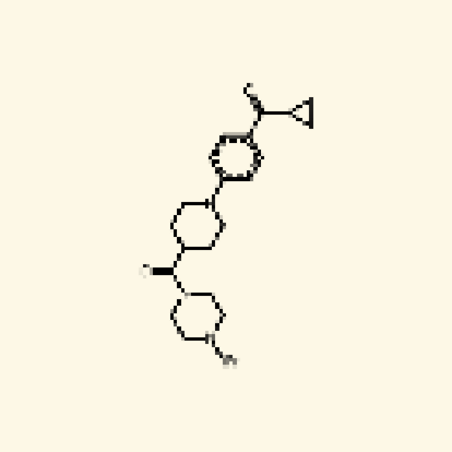 CC(C)N1CCN(C(=O)C2CCN(c3ccc(C(=O)C4CC4)cc3)CC2)CC1